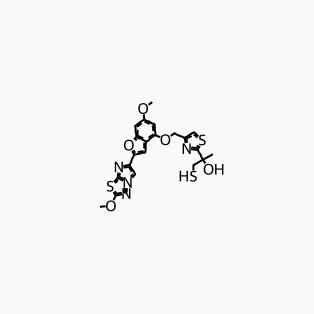 COc1cc(OCc2csc(C(C)(O)CS)n2)c2cc(-c3cn4nc(OC)sc4n3)oc2c1